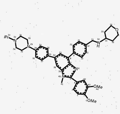 COc1ccc(-c2nc3c(-c4ccc(CNC5CCOCC5)cc4)cc(-c4ccc(N5CCN(C(C)C)CC5)cc4)cc3n2C)cc1OC